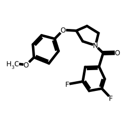 COc1ccc(OC2CCN(C(=O)c3cc(F)cc(F)c3)C2)cc1